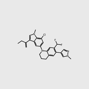 C=C(CC)c1cn(C)c2c(Cl)cc(N3CCCc4cc(-c5cnn(C)c5)c(C(F)F)cc43)cc12